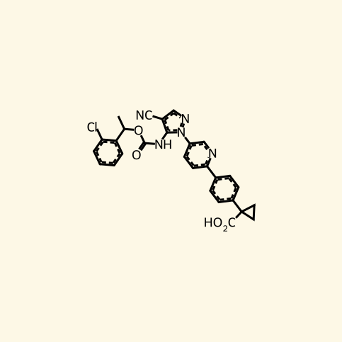 CC(OC(=O)Nc1c(C#N)cnn1-c1ccc(-c2ccc(C3(C(=O)O)CC3)cc2)nc1)c1ccccc1Cl